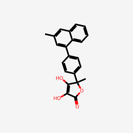 Cc1cc(-c2ccc(C3(C)OC(=O)C(O)=C3O)cc2)c2ccccc2c1